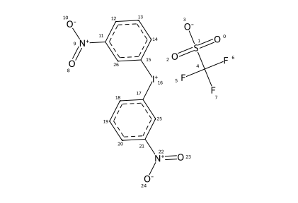 O=S(=O)([O-])C(F)(F)F.O=[N+]([O-])c1cccc([I+]c2cccc([N+](=O)[O-])c2)c1